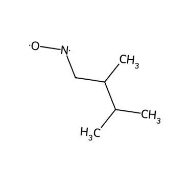 CC(C)C(C)C[N][O]